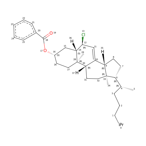 CC(C)CCC[C@@H](C)[C@H]1CC[C@H]2C3=C[C@H](Cl)[C@H]4C[C@@H](OC(=O)c5ccccc5)CC[C@]4(C)[C@H]3CC[C@]12C